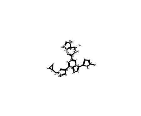 Cc1ccc(-c2cnc3c(-c4cnn(CC5CC5)c4)cc(C(=O)N[C@@H](C)c4nnc[nH]4)cn23)s1